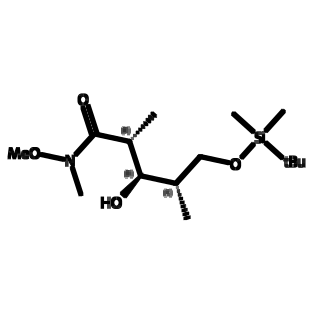 CON(C)C(=O)[C@H](C)[C@H](O)[C@@H](C)CO[Si](C)(C)C(C)(C)C